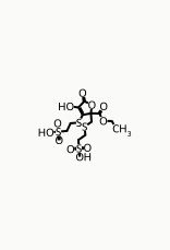 CCOC(=O)C1(CSCCS(=O)(=O)O)OC(=O)C(O)=C1SCCS(=O)(=O)O